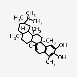 Cc1c(O)c(O)cc2c1CC=C1[C@@]2(C)CC[C@@]2(C)[C@@H]3C[C@](C)(N(C)C)CC[C@]3(C)CC[C@]12C